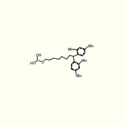 CC(C)(C)c1ccc(C(CCCCCCCOP(O)O)c2ccc(C(C)(C)C)cc2C(C)(C)C)c(C(C)(C)C)c1